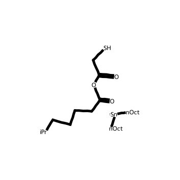 CC(C)CCCCC(=O)OC(=O)CS.CCCCCCC[CH2][Sn][CH2]CCCCCCC